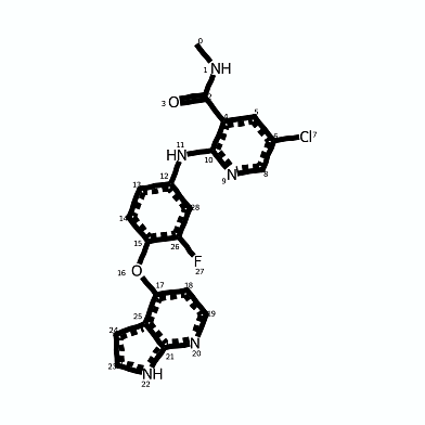 CNC(=O)c1cc(Cl)cnc1Nc1ccc(Oc2ccnc3[nH]ccc23)c(F)c1